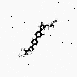 Cc1cc(-c2ccc(-c3c[nH]c(C(NC=O)C(C)C)n3)cc2)ccc1-c1c[nH]c(CNC(=O)OC(C)(C)C)n1